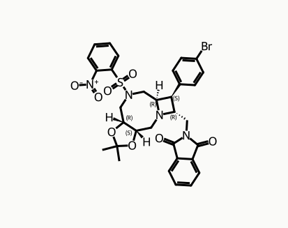 CC1(C)O[C@H]2CN3[C@@H](CN4C(=O)c5ccccc5C4=O)[C@H](c4ccc(Br)cc4)[C@@H]3CN(S(=O)(=O)c3ccccc3[N+](=O)[O-])C[C@H]2O1